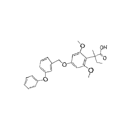 CCC(C)(C(=O)O)c1c(OC)cc(OCc2cccc(Oc3ccccc3)c2)cc1OC